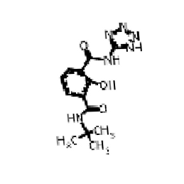 CC(C)(C)NC(=O)c1cccc(C(=O)Nc2nnn[nH]2)c1O